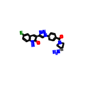 N[C@H]1CCN(C(=O)c2ccc(-n3cc(-c4cc5cc(F)ccc5[nH]c4=O)nn3)cc2)C1